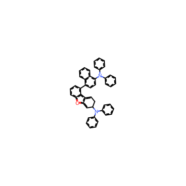 C1=c2oc3cccc(-c4ccc(N(c5ccccc5)c5ccccc5)c5ccccc45)c3c2=CCC1N(c1ccccc1)c1ccccc1